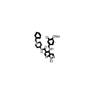 CCn1ncc2c(NCc3ccc(OC)c(Cl)c3)c(C(=O)NC3CCN(Cc4ccccc4)CC3)cnc21